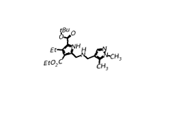 CCOC(=O)c1c(CNCc2cnn(C)c2C)[nH]c(C(=O)OC(C)(C)C)c1CC